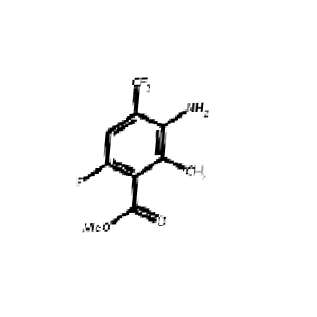 COC(=O)c1c(F)cc(C(F)(F)F)c(N)c1C